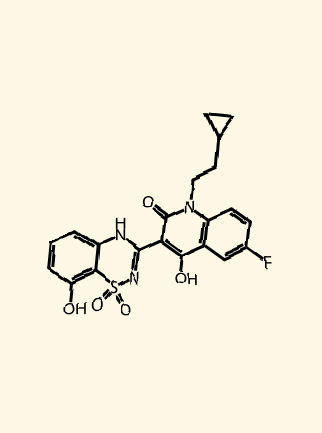 O=c1c(C2=NS(=O)(=O)c3c(O)cccc3N2)c(O)c2cc(F)ccc2n1CCC1CC1